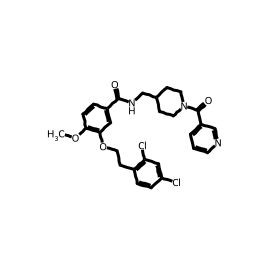 COc1ccc(C(=O)NCC2CCN(C(=O)c3cccnc3)CC2)cc1OCCc1ccc(Cl)cc1Cl